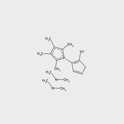 C[N-]C.C[N-]C.Cc1c(C)c(C)p(C2=[C]([Ti+2])CC=C2)c1C